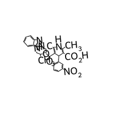 CC1=C(C(=O)O)C(c2cccc([N+](=O)[O-])c2)C(C(=O)OC(C)Cn2nnc3ccccc32)=C(C)N1